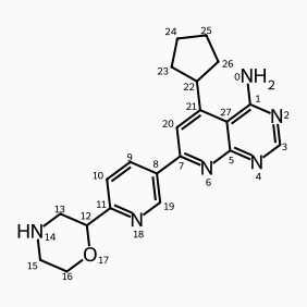 Nc1ncnc2nc(-c3ccc(C4CNCCO4)nc3)cc(C3CCCC3)c12